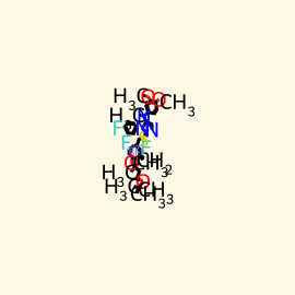 C=C/C(F)=C(CSc1ncc(N(C)c2ccc(OC)c(OC)c2)n1-c1ccc(F)cc1)\C(F)=C/COC(C)(C)CCOC(C)(C)C